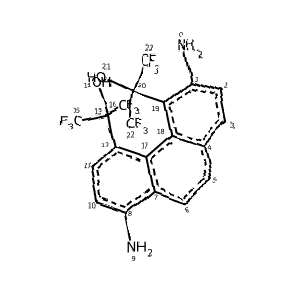 Nc1ccc2ccc3c(N)ccc(C(O)(C(F)(F)F)C(F)(F)F)c3c2c1C(O)(C(F)(F)F)C(F)(F)F